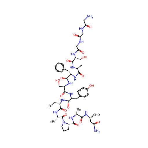 CCC[C@H](NC(=O)[C@H](CC(C)C)NC(=O)[C@H](Cc1ccc(O)cc1)NC(=O)[C@@H](CO)NC(=O)[C@H](Cc1ccccc1)NC(=O)[C@H](C)NC(=O)[C@@H](CO)NC(=O)CNC(=O)CNC(=O)CN)C(=O)N1CCC[C@H]1C(=O)N[C@H](C(=O)N[C@@H](C=O)CC(N)=O)[C@@H](C)CC